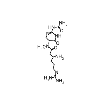 CN(C(=O)C[C@@H](N)CCCN=C(N)N)[C@@H]1CN=C(NC(N)=O)NC1=O